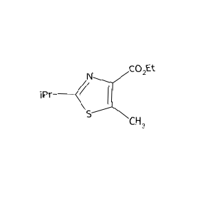 CCOC(=O)c1nc(C(C)C)sc1C